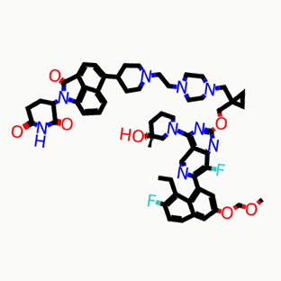 CCc1c(F)ccc2cc(OCOC)cc(-c3ncc4c(N5CCC[C@@](C)(O)C5)nc(OCC5(CN6CCN(CCN7CCC(c8ccc9c%10c(cccc8%10)N(C8CCC(=O)NC8=O)C9=O)CC7)CC6)CC5)nc4c3F)c12